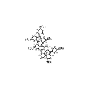 CC(C)(C)c1ccc(N2c3ccc(C(C)(C)C)cc3B3c4cc(C(C)(C)C)ccc4N(c4ccc(N(c5ccc(C(C)(C)C)cc5)c5ccc(C(C)(C)C)cc5)c5c4sc4ccccc45)c4cc(C(C)(C)C)cc2c43)cc1